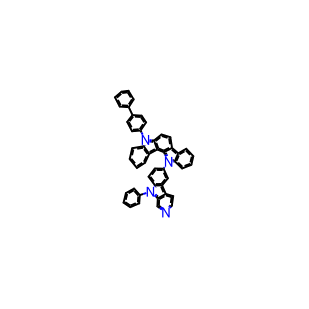 c1ccc(-c2ccc(-n3c4ccccc4c4c3ccc3c5ccccc5n(-c5ccc6c(c5)c5ccncc5n6-c5ccccc5)c34)cc2)cc1